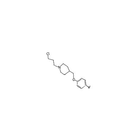 Fc1ccc(OCC2CCN(CCCCl)CC2)cc1